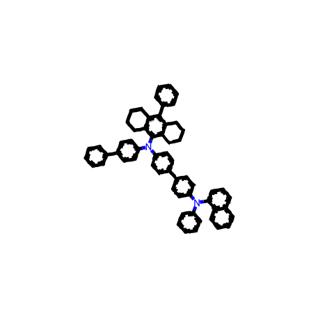 c1ccc(-c2ccc(N(c3ccc(-c4ccc(N(c5ccccc5)c5cccc6ccccc56)cc4)cc3)c3c4c(c(-c5ccccc5)c5c3CCCC5)CCCC4)cc2)cc1